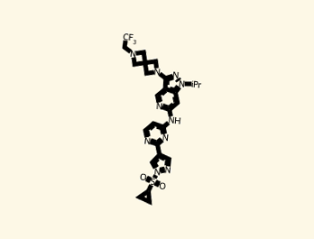 CC(C)n1nc(N2CC3(CN(CC(F)(F)F)C3)C2)c2cnc(Nc3ccnc(-c4cnn(S(=O)(=O)C5CC5)c4)n3)cc21